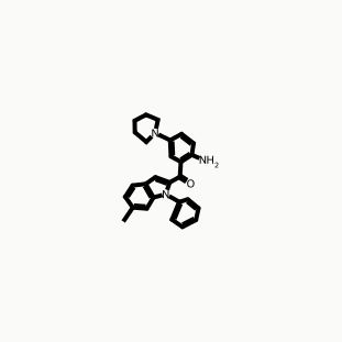 Cc1ccc2cc(C(=O)c3cc(N4CCCCC4)ccc3N)n(-c3ccccc3)c2c1